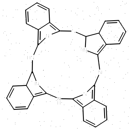 C1=CC2=C3Nc4[n-]c(c5ccccc45)NC4=C5C=CC=CC5C(N4)Nc4[n-]c(c5ccccc45)NC(N3)C2C=C1.[Zn+2]